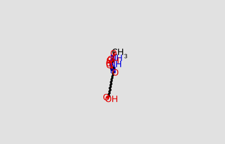 COCCNC(=O)CC(NC(=O)C1CCN(C(=O)CCCCCCCCCCCCCCCCC(=O)O)CC1)C(=O)O